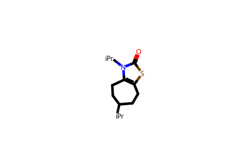 CC(C)C1CCc2sc(=O)n(C(C)C)c2CC1